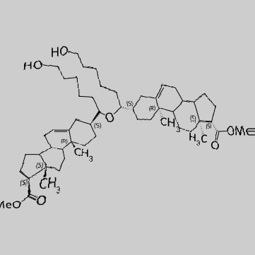 COC(=O)[C@H]1CCC2C3CC=C4C[C@@H](C(CCCCCO)OC(CCCCCO)[C@H]5CC[C@@]6(C)C(=CCC7C6CC[C@@]6(C)C7CC[C@@H]6C(=O)OC)C5)CC[C@]4(C)C3CC[C@@]21C